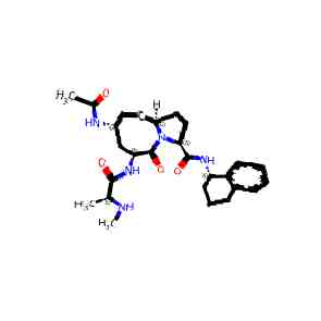 CN[C@@H](C)C(=O)N[C@H]1C[C@H](NC(C)=O)CC[C@H]2CC[C@@H](C(=O)N[C@H]3CCCc4ccccc43)N2C1=O